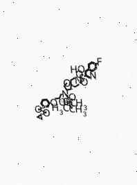 CC(C)(C)OC(=O)N(C[C@H](O)COc1cccc(S(=O)(=O)C2CC2)c1)[C@H]1COC2(CCN(S(=O)(=O)c3cnc4cc(F)ccc4c3O)CC2)C1